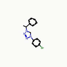 CC(c1ccccc1)N1CN(c2ccc(Br)cc2)N=N1